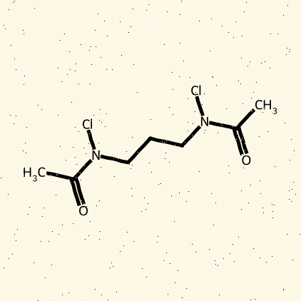 CC(=O)N(Cl)CCCN(Cl)C(C)=O